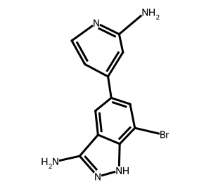 Nc1cc(-c2cc(Br)c3[nH]nc(N)c3c2)ccn1